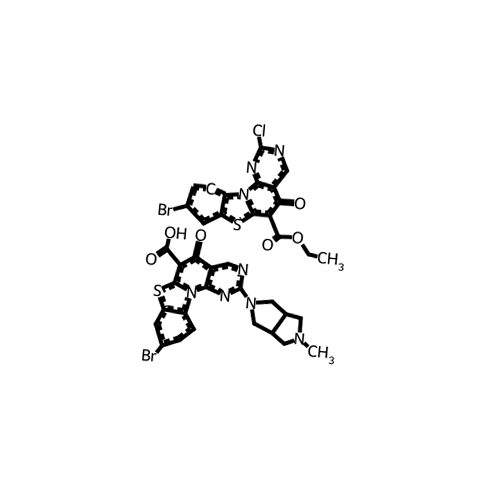 CCOC(=O)c1c(=O)c2cnc(Cl)nc2n2c1sc1cc(Br)ccc12.CN1CC2CN(c3ncc4c(=O)c(C(=O)O)c5sc6cc(Br)ccc6n5c4n3)CC2C1